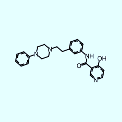 O=C(Nc1cccc(CCN2CCN(c3ccccc3)CC2)c1)c1cnccc1O